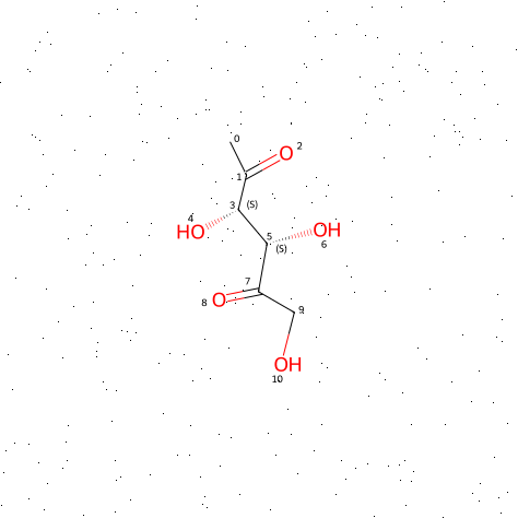 CC(=O)[C@@H](O)[C@H](O)C(=O)CO